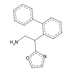 NCC(c1ncco1)c1ccccc1-c1ccccc1